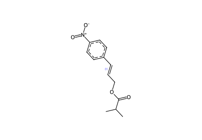 CC(C)C(=O)OC/C=C/c1ccc([N+](=O)[O-])cc1